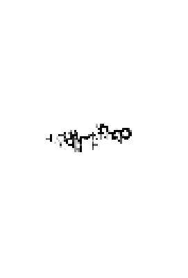 CC(C)(C)OC(=O)NCCCNc1nccc(-c2cnc3ccccc3c2)n1